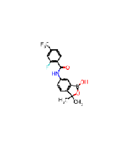 CC1(C)OB(O)c2cc(NC(=O)c3ccc(C(F)(F)F)cc3F)ccc21